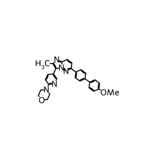 COc1ccc(-c2ccc(-c3ccc4nc(C)c(-c5ccc(N6CCOCC6)nc5)n4n3)cc2)cc1